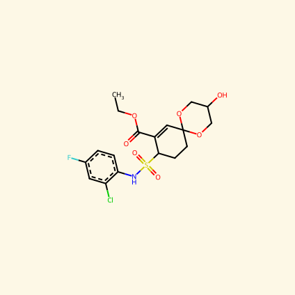 CCOC(=O)C1=CC2(CCC1S(=O)(=O)Nc1ccc(F)cc1Cl)OCC(O)CO2